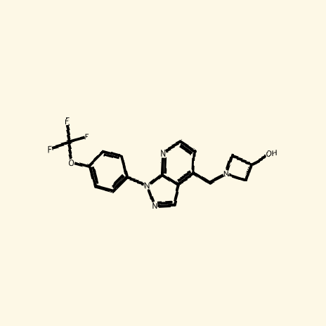 OC1CN(Cc2ccnc3c2cnn3-c2ccc(OC(F)(F)F)cc2)C1